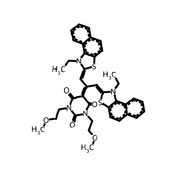 CCN1C(=CC(C=C2Sc3ccc4ccccc4c3N2CC)=C2C(=O)N(CCOC)C(=O)N(CCOC)C2=O)Sc2ccc3ccccc3c21